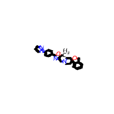 Cc1oc(-c2ccc(-n3cccn3)cc2)nc1CN1CCC2(CC1)OCc1ccccc12